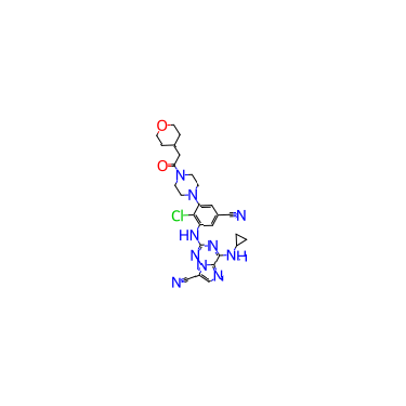 N#Cc1cc(Nc2nc(NC3CC3)c3ncc(C#N)n3n2)c(Cl)c(N2CCN(C(=O)CC3CCOCC3)CC2)c1